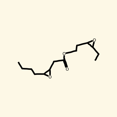 CCCCC1OC1CC(=O)OCCC1OC1CC